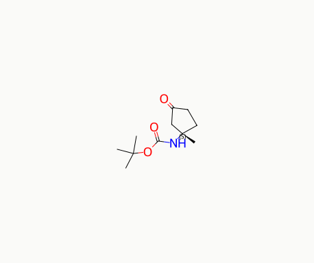 CC(C)(C)OC(=O)N[C@@]1(C)CCC(=O)C1